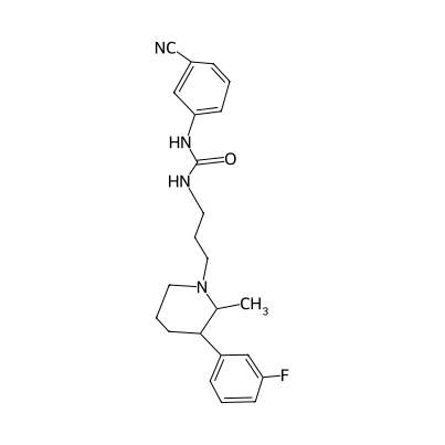 CC1C(c2cccc(F)c2)CCCN1CCCNC(=O)Nc1cccc(C#N)c1